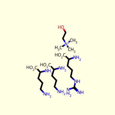 C[N+](C)(C)CCO.N=C(N)NCCCC(N)C(=O)O.NCCCC(N)C(=O)O.NCCCC(N)C(=O)O